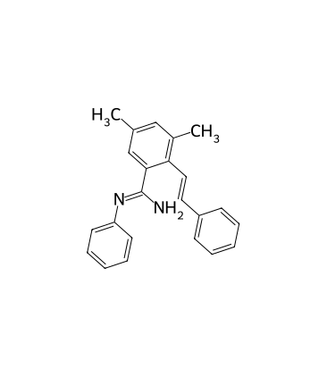 Cc1cc(C)c(/C=C/c2ccccc2)c(/C(N)=N/c2ccccc2)c1